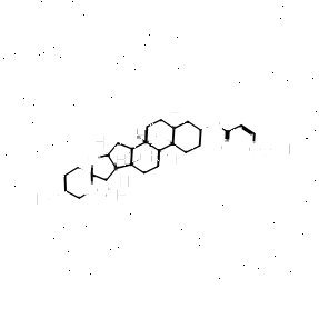 C[C@@H]1CC[C@@]2(OC1)O[C@H]1C[C@H]3[C@@H]4CC[C@H]5C[C@@H](OC(=O)/C=C\C(=O)O)CC[C@]5(C)[C@H]4CC[C@]3(C)[C@H]1[C@@H]2C